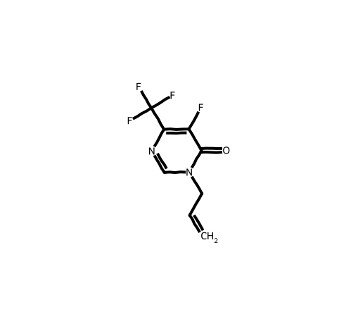 C=CCn1cnc(C(F)(F)F)c(F)c1=O